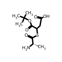 C[C@H](N)C(=O)SC(CC(=O)O)C(=O)OC(C)(C)C